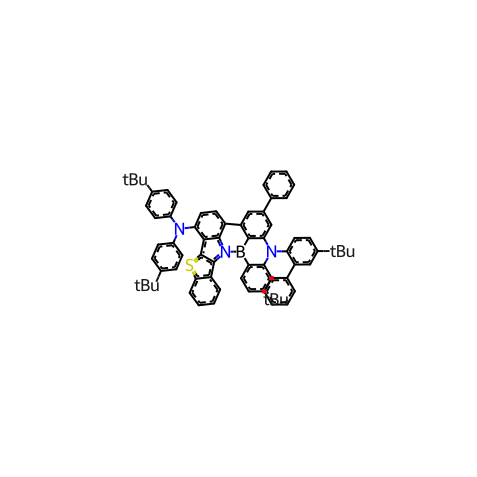 CC(C)(C)c1ccc(N(c2ccc(C(C)(C)C)cc2)c2ccc3c4c2c2sc5ccccc5c2n4B2c4ccc(C(C)(C)C)cc4N(c4ccc(C(C)(C)C)cc4-c4ccccc4)c4cc(-c5ccccc5)cc-3c42)cc1